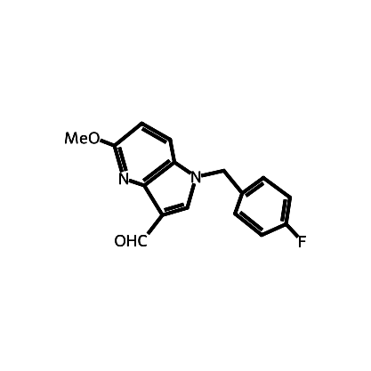 COc1ccc2c(n1)c(C=O)cn2Cc1ccc(F)cc1